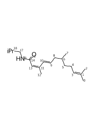 CC(C)=CCCC(C)CC=CC(C)=CC(=O)NCC(C)C